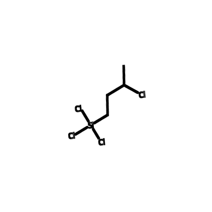 CC(Cl)CC[Si](Cl)(Cl)Cl